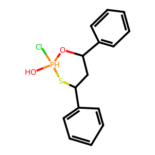 O[PH]1(Cl)OC(c2ccccc2)CC(c2ccccc2)S1